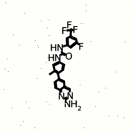 Cc1cc(NC(=O)Nc2cc(F)cc(C(F)(F)F)c2)ccc1-c1ccc2nc(N)ncc2c1